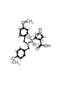 COc1ccc(CN(Cc2ccc(OC)cc2)S(=O)(=O)c2n[nH]cc2C(=O)O)cc1